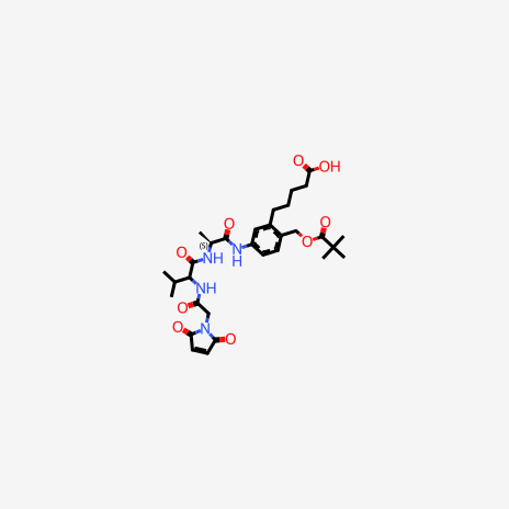 CC(C)C(NC(=O)CN1C(=O)C=CC1=O)C(=O)N[C@@H](C)C(=O)Nc1ccc(COC(=O)C(C)(C)C)c(CCCCC(=O)O)c1